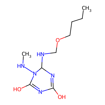 CCCCOCNC1N=C(O)N=C(O)N1NC